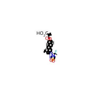 C=C(C)[C@@H]1CC[C@]2(NC[C@H]([C@H](C)F)N3CCS(=O)(=O)CC3)CC[C@]3(C)[C@H](CC[C@@H]4[C@@]5(C)CC[C@H](OC(=O)[C@H]6[C@@H](C(=O)O)C6(C)C)C(C)(C)[C@@H]5CC[C@]43C)[C@@H]12